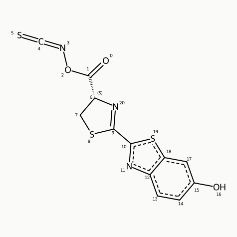 O=C(ON=C=S)[C@H]1CSC(c2nc3ccc(O)cc3s2)=N1